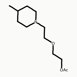 CC(=O)OCCOCCN1CCC(C)CC1